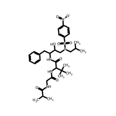 CC(C)CN(CC(O)C(Cc1ccccc1)NC(=O)C(NC(=O)CNC(=O)C(C)C)C(C)(C)C)S(=O)(=O)c1ccc([N+](=O)[O-])cc1